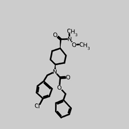 CON(C)C(=O)[C@H]1CC[C@@H](N(Cc2ccc(Cl)cc2)C(=O)OCc2ccccc2)CC1